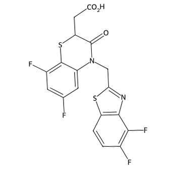 O=C(O)CC1Sc2c(F)cc(F)cc2N(Cc2nc3c(F)c(F)ccc3s2)C1=O